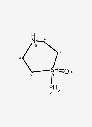 O=[SH]1(P)CCNCC1